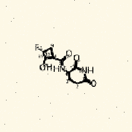 O=C1CCC(NC(=O)C2C[C@@H](F)C2O)C(=O)N1